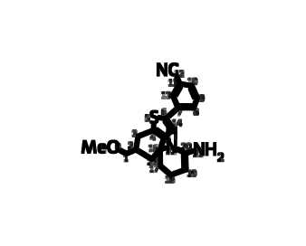 COCC1Cc2sc(-c3cccc(C#N)c3)cc2C2(CCC=C(N)N2)C1